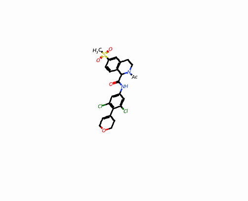 CC(=O)N1CCc2cc(S(C)(=O)=O)ccc2C1C(=O)Nc1cc(Cl)c(C2=CCOCC2)c(Cl)c1